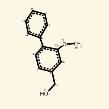 OCc1ccc(-c2ccccc2)c(OC(F)(F)F)c1